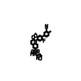 COc1cc(-c2ccc(C)c(C#N)c2)c(F)cc1-n1c(=O)ccc2cc(S(=O)(=O)Nc3ccon3)ccc21